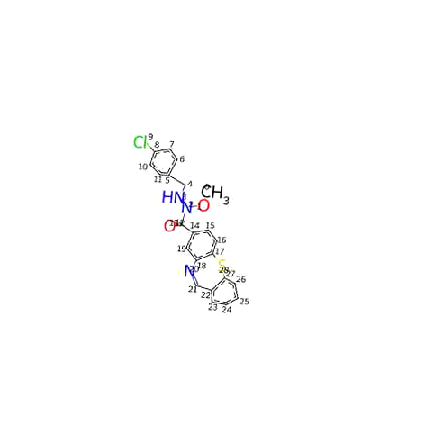 CON(NCc1ccc(Cl)cc1)C(=O)c1ccc2c(c1)N=Cc1ccccc1S2